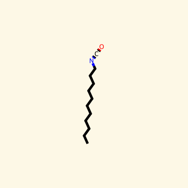 CCCCCCCCCCCN=C=O